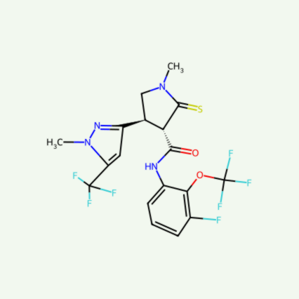 CN1C[C@H](c2cc(C(F)(F)F)n(C)n2)[C@@H](C(=O)Nc2cccc(F)c2OC(F)(F)F)C1=S